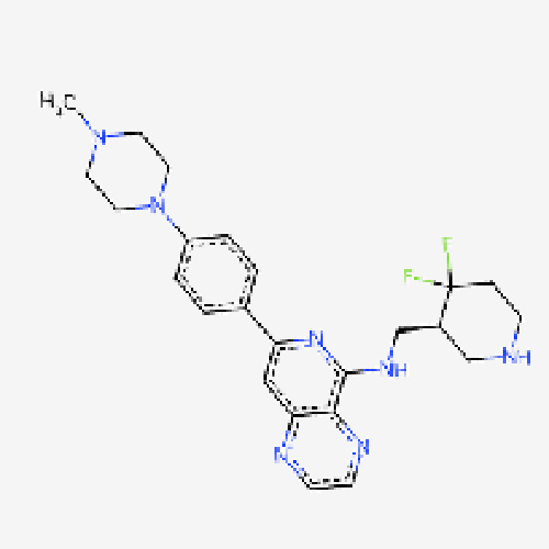 CN1CCN(c2ccc(-c3cc4nccnc4c(NC[C@@H]4CNCCC4(F)F)n3)cc2)CC1